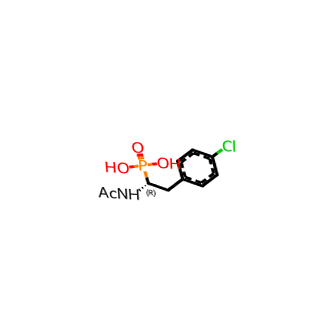 CC(=O)N[C@@H](Cc1ccc(Cl)cc1)P(=O)(O)O